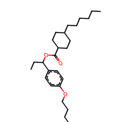 CCCCCCC1CCC(C(=O)OC(CC)c2ccc(OCCCC)cc2)CC1